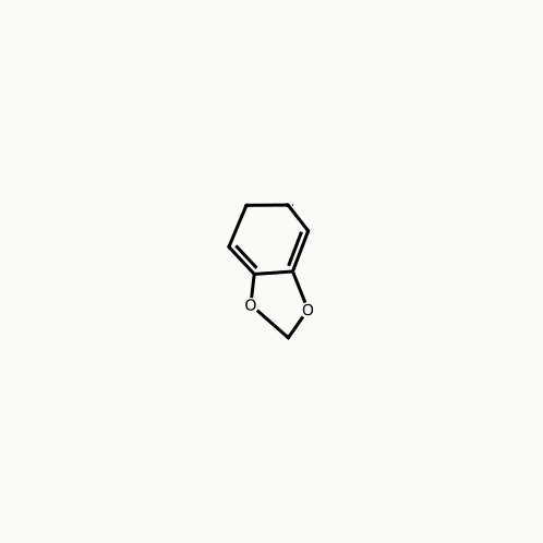 [CH]1C=C2OCOC2=CC1